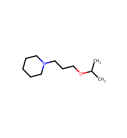 CC(C)OCCCN1CC[CH]CC1